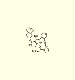 C=CC(=O)N1CCC[C@@H]1C#Cc1cnccc1-c1[nH]c2c(c1Nc1cccc(F)c1OC)C(=O)NCC2